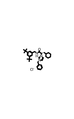 CC(C)(C)c1cc(CNC(=O)[C@H](CC2CCCCC2)n2cc[n+](Cc3ccccc3)c2)cc(C(C)(C)C)c1.[Cl-]